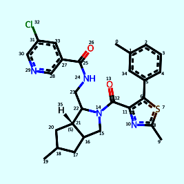 Cc1cccc(-c2sc(C)nc2C(=O)N2CC3CC(C)C[C@@H]3C2CNC(=O)c2cncc(Cl)c2)c1